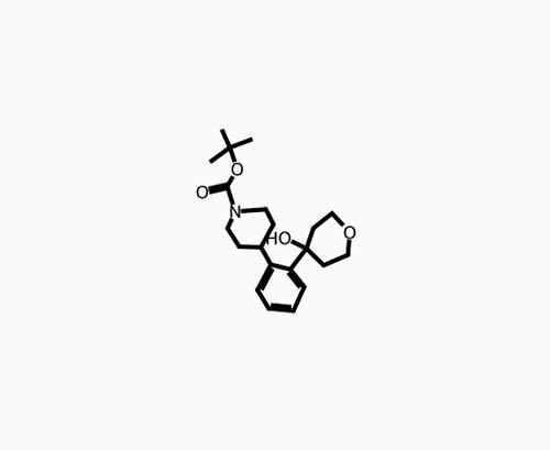 CC(C)(C)OC(=O)N1CCC(c2ccccc2C2(O)CCOCC2)CC1